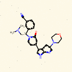 CN(C)C[C@H](c1cccc(C#N)c1)n1ccc(-c2c[nH]c3ncc(N4CCOCC4)cc23)cc1=O